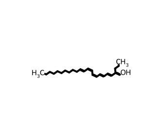 CCCCCCCCCC/C=C/C=C\C=C/C=C/C=C/C(=C/O)CCC